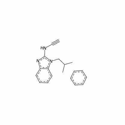 C#CNc1nc2ccccc2n1CC(C)C.c1ccccc1